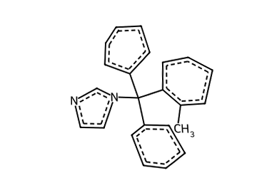 Cc1ccccc1C(c1ccccc1)(c1ccccc1)n1ccnc1